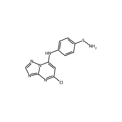 NSc1ccc(Nc2cc(Cl)nc3ncnn23)cc1